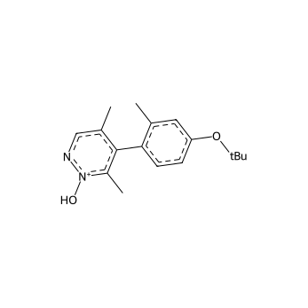 Cc1cc(OC(C)(C)C)ccc1-c1c(C)cn[n+](O)c1C